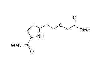 COC(=O)COCCC1CCC(C(=O)OC)N1